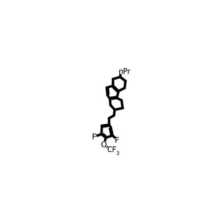 CCCC1CCc2c(ccc3c2CCC(CCc2cc(F)c(OC(F)(F)F)c(F)c2)C3)C1